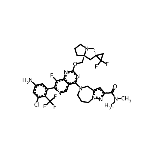 CN(C)C(=O)c1cc2n(n1)CCCN(c1nc(OC[C@@]34CCCN3C[C@@]3(CC3(F)F)C4)nc3c(F)c(-c4cc(N)cc(Cl)c4C(F)(F)F)ncc13)C2